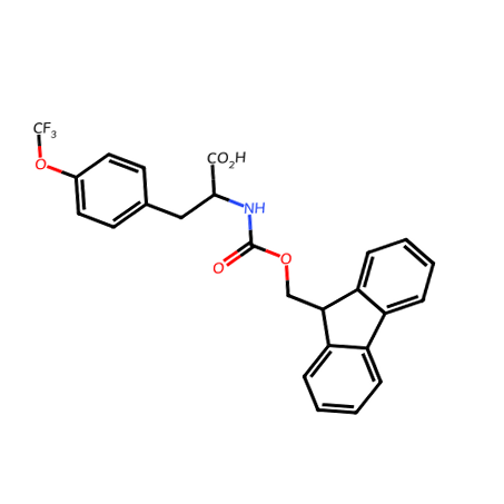 O=C(NC(Cc1ccc(OC(F)(F)F)cc1)C(=O)O)OCC1c2ccccc2-c2ccccc21